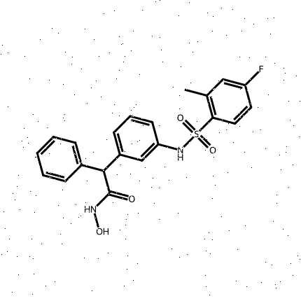 Cc1cc(F)ccc1S(=O)(=O)Nc1cccc(C(C(=O)NO)c2ccccc2)c1